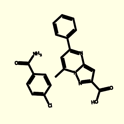 Cc1cc(-c2ccccc2)nc2cc(C(=O)O)nn12.NC(=O)c1ccc(Cl)cc1